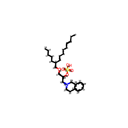 CCCCCCCCCC(CCCCC)COCC(CN1CCc2ccccc2C1)OS(=O)(=O)O